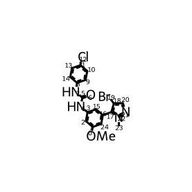 COc1cc(NC(=O)Nc2ccc(Cl)cc2)cc(-c2c(Br)cnn2C)c1